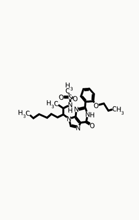 CCCCCCC(C(C)NS(C)(=O)=O)n1cnc2c(=O)[nH]c(-c3ccccc3OCCC)nc21